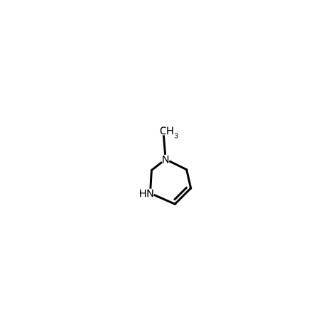 CN1CC=CNC1